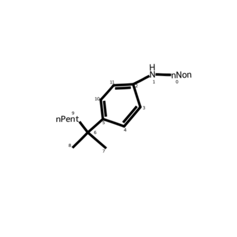 CCCCCCCCCNc1ccc(C(C)(C)CCCCC)cc1